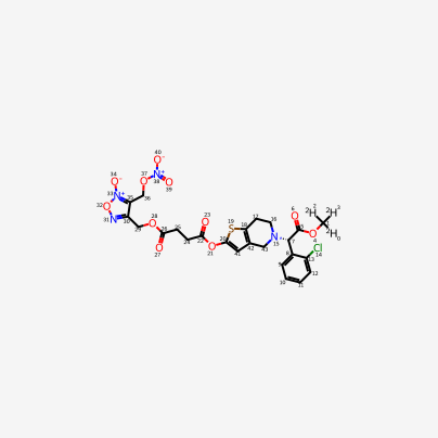 [2H]C([2H])([2H])OC(=O)[C@H](c1ccccc1Cl)N1CCc2sc(OC(=O)CCC(=O)OCc3no[n+]([O-])c3CO[N+](=O)[O-])cc2C1